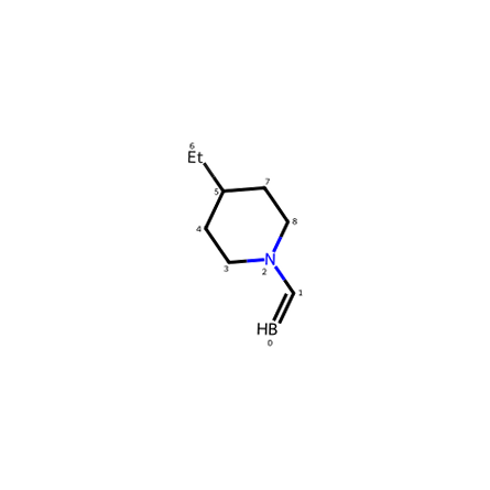 B=CN1CCC(CC)CC1